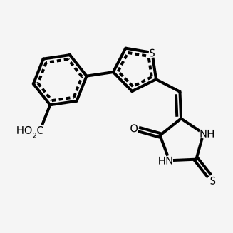 O=C1NC(=S)NC1=Cc1cc(-c2cccc(C(=O)O)c2)cs1